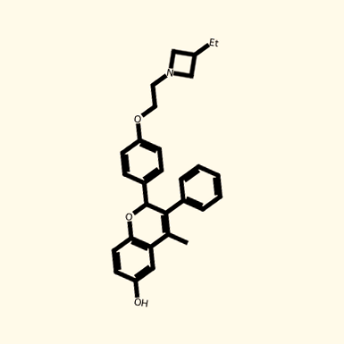 CCC1CN(CCOc2ccc(C3Oc4ccc(O)cc4C(C)=C3c3ccccc3)cc2)C1